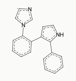 [c]1cn(-c2ccccc2-c2cc[nH]c2-c2ccccc2)cn1